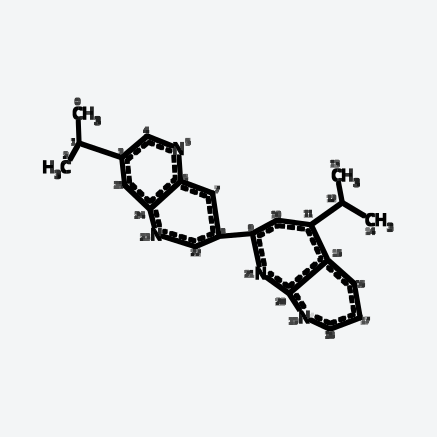 CC(C)c1cnc2cc(-c3cc(C(C)C)c4cccnc4n3)cnc2c1